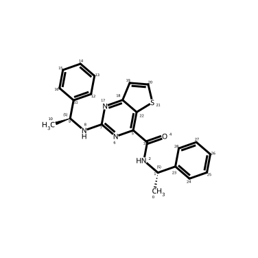 C[C@H](NC(=O)c1nc(N[C@@H](C)c2ccccc2)nc2ccsc12)c1ccccc1